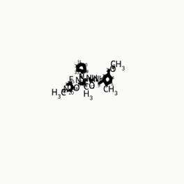 COCc1ccc(C)c(CNC(=O)Nc2c(C)c(O[C@H]3CN(C)C[C@H]3F)nn2-c2ccccc2)c1